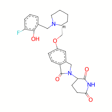 O=C1CCC(N2Cc3cc(OC[C@H]4CCCCN4Cc4cccc(F)c4O)ccc3C2=O)C(=O)N1